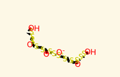 O=C(CSCCSCC[S+]([O-])CSCSC(=O)CSCCSCC(=O)SCSCSCO)SCSCSCO